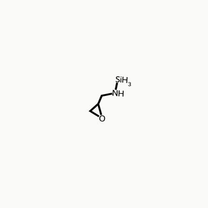 [SiH3]NCC1CO1